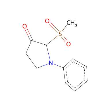 CS(=O)(=O)C1C(=O)CCN1c1ccccc1